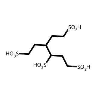 O=S(=O)(O)CC[C](CCS(=O)(=O)O)C(CCS(=O)(=O)O)S(=O)(=O)O